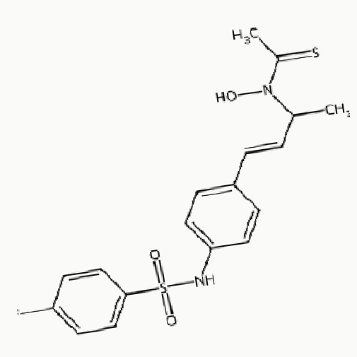 CC(=S)N(O)C(C)/C=C/c1ccc(NS(=O)(=O)c2ccc(F)cc2)cc1